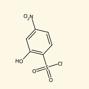 O=[N+]([O-])c1ccc(S(=O)(=O)Cl)c(O)c1